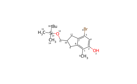 Cc1c(O)cc(Br)c2c1CC(CO[Si](C)(C)C(C)(C)C)C2